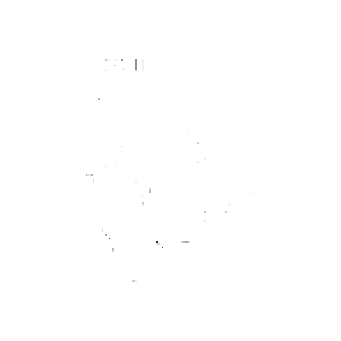 Cc1ccc(Cn2ccnc2OC(=O)CCC(=O)O)cc1C